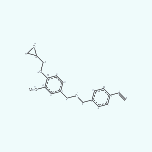 C=Cc1ccc(COCc2ccc(OCC3CO3)c(OC)c2)cc1